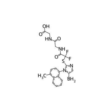 Bc1cnc(SC(F)(F)C(=O)NCC(=O)NCC(=O)O)n1-c1ccc(C)c2ccccc12